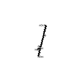 CCCCCCCC/C=C\CCCCCCCC(=O)CCCCCCCCCCC(=O)NC(CO)CCCCCCCCCCCCCCCC